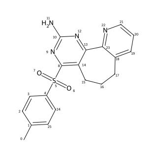 Cc1ccc(S(=O)(=O)c2nc(N)nc3c2CCCc2cccnc2-3)cc1